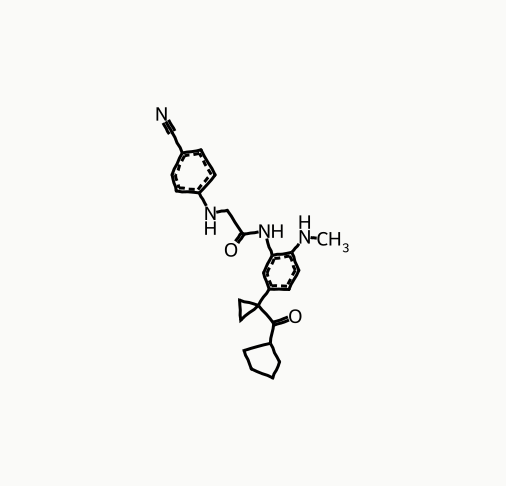 CNc1ccc(C2(C(=O)C3CCCC3)CC2)cc1NC(=O)CNc1ccc(C#N)cc1